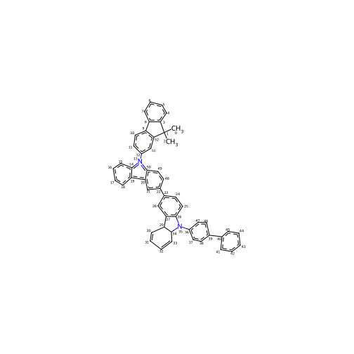 CC1(C)c2ccccc2-c2ccc(-n3c4ccccc4c4cc(-c5ccc6c(c5)C5C=CC=CC5N6c5ccc(-c6ccccc6)cc5)ccc43)cc21